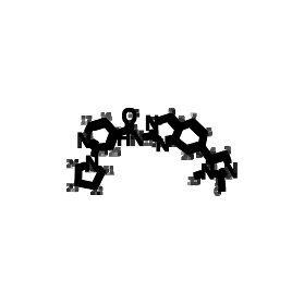 Cc1ncc(-c2ccc3cnc(NC(=O)c4ccnc(N5CCCC5)c4)nc3c2)n1C